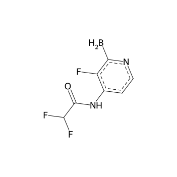 Bc1nccc(NC(=O)C(F)F)c1F